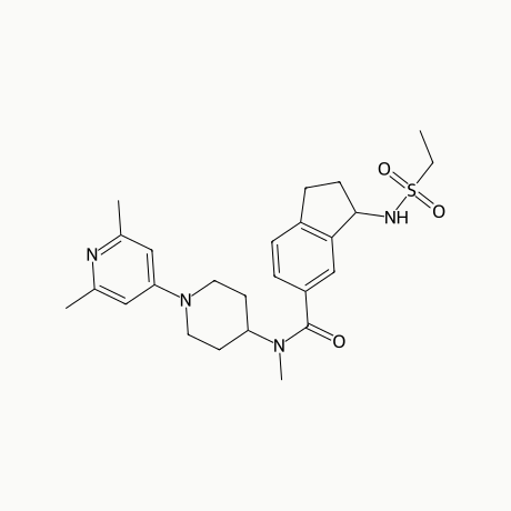 CCS(=O)(=O)NC1CCc2ccc(C(=O)N(C)C3CCN(c4cc(C)nc(C)c4)CC3)cc21